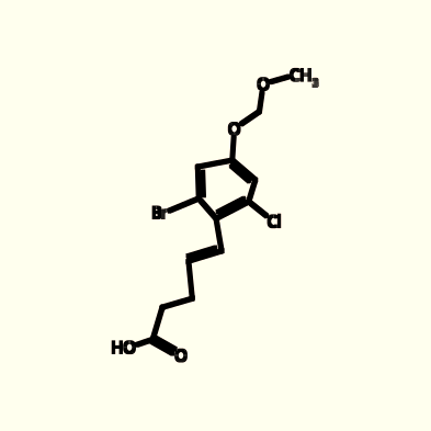 COCOc1cc(Cl)c(/C=C/CCC(=O)O)c(Br)c1